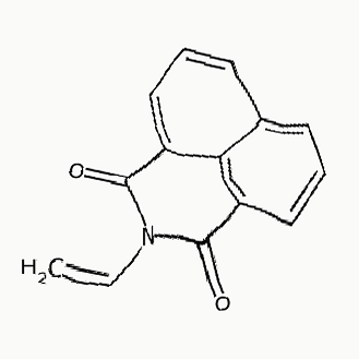 C=CN1C(=O)c2cccc3cccc(c23)C1=O